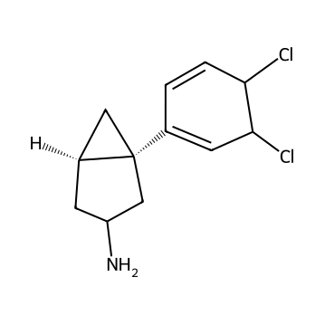 NC1C[C@H]2C[C@@]2(C2=CC(Cl)C(Cl)C=C2)C1